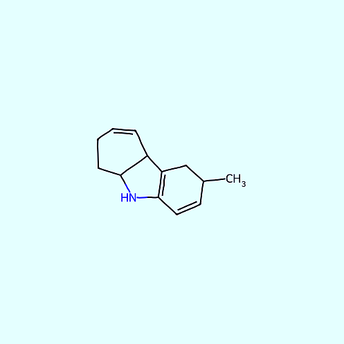 CC1C=CC2=C(C1)C1C=CCCC1N2